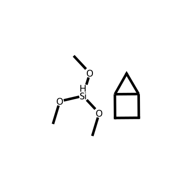 C1CC2CC12.CO[SiH](OC)OC